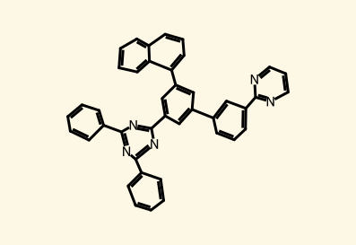 c1ccc(-c2nc(-c3ccccc3)nc(-c3cc(-c4cccc(-c5ncccn5)c4)cc(-c4cccc5ccccc45)c3)n2)cc1